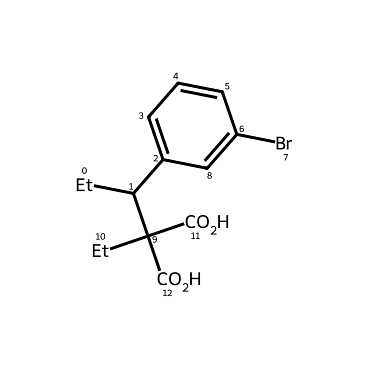 CCC(c1cccc(Br)c1)C(CC)(C(=O)O)C(=O)O